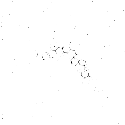 CCC(C(=O)O)[C@H]1CC[C@H](C)[C@H](C(C)C(O)[C@H](C)C(=O)[C@H](CC)[C@H]2O[C@]3(C=C[C@@H](OC(C)=O)[C@]4(CC[C@@](C)([C@H]5CC[C@](O)(CC)C(C)O5)O4)O3)C(C)CC2C)O1